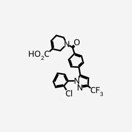 O=C(O)C1=CCCN(C(=O)c2ccc(-c3cc(C(F)(F)F)nn3-c3ccccc3Cl)cc2)C1